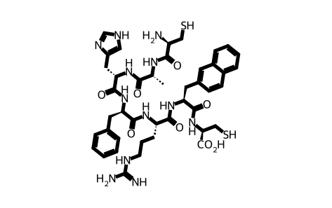 C[C@@H](NC(=O)[C@@H](N)CS)C(=O)N[C@@H](Cc1c[nH]cn1)C(=O)N[C@H](Cc1ccccc1)C(=O)N[C@@H](CCCNC(=N)N)C(=O)N[C@@H](Cc1ccc2ccccc2c1)C(=O)N[C@@H](CS)C(=O)O